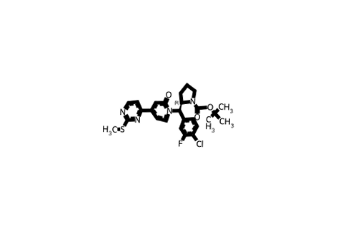 CSc1nccc(-c2ccn(C(c3ccc(Cl)c(F)c3)[C@H]3CCCN3C(=O)OC(C)(C)C)c(=O)c2)n1